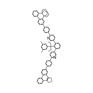 CCC(CC)(c1cc(C)cc(C)c1)c1c(-c2ccc(-c3ccc(-c4ccc5c(c4)C46CCCC4(CCC6)c4ccccc4-5)cc3)nc2)cccc1-c1ccc(-c2ccc(-c3ccc4c(c3)C35CCC6(CCC3(C6)c3ccccc3-4)C5)cc2)nc1